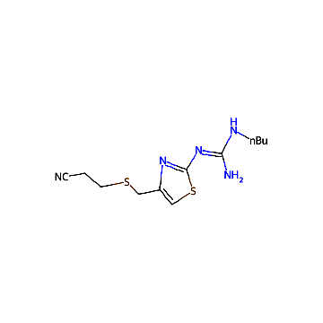 CCCCN/C(N)=N/c1nc(CSCCC#N)cs1